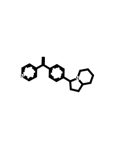 C=C(c1ccncc1)c1ccc(C2CCC3CCCCN32)cc1